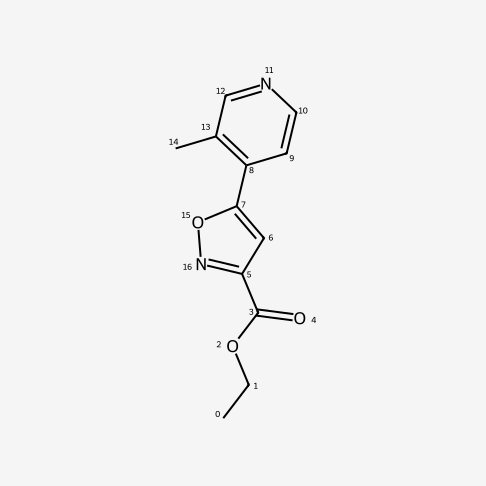 CCOC(=O)c1cc(-c2ccncc2C)on1